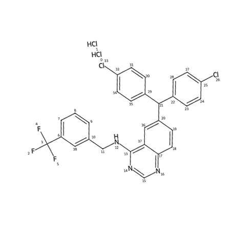 Cl.Cl.FC(F)(F)c1cccc(CNc2ncnc3ccc(C(c4ccc(Cl)cc4)c4ccc(Cl)cc4)cc23)c1